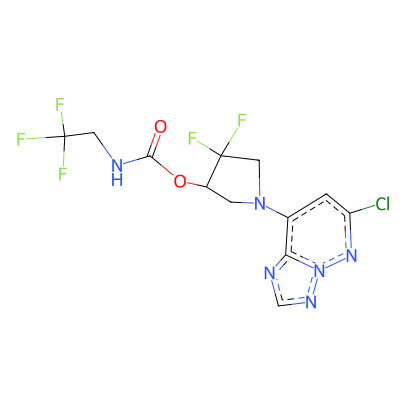 O=C(NCC(F)(F)F)OC1CN(c2cc(Cl)nn3ncnc23)CC1(F)F